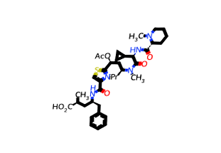 CC(=O)O[C@H](C[C@H](C(C)C)N(C)C(=O)[C@@H](NC(=O)[C@H]1CCCCN1C)C1CC1)c1nc(C(=O)N[C@@H](Cc2ccccc2)C[C@H](C)C(=O)O)cs1